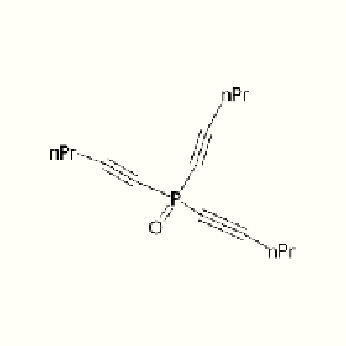 CCCC#CP(=O)(C#CCCC)C#CCCC